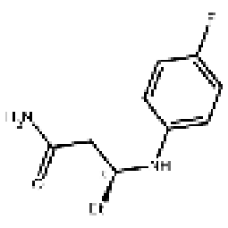 CC[C@@H](CC(N)=O)Nc1ccc(F)cc1